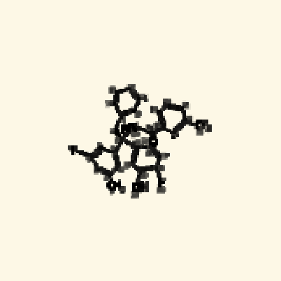 Cc1cc(F)cc([C@](Cc2ccccc2)(NC(=O)c2cccc(C(F)(F)F)c2)c2ccc(F)c(O)c2)c1